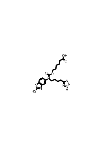 O=C(O)CCCCCOC(=O)N(CCCCc1nn[nH]n1)c1ccc2sc(S)nc2c1